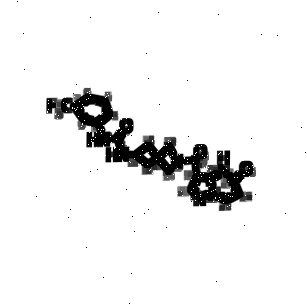 O=C(Nc1cccc(C(F)(F)F)c1)NC1CC2(C1)CN(C(=O)c1cnn3ccc(=O)[nH]c13)C2